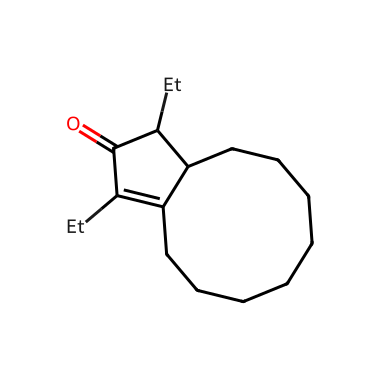 CCC1=C2CCCCCCCCC2C(CC)C1=O